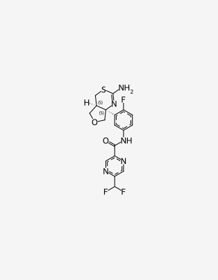 NC1=N[C@@]2(c3cc(NC(=O)c4cnc(C(F)F)cn4)ccc3F)COC[C@H]2CS1